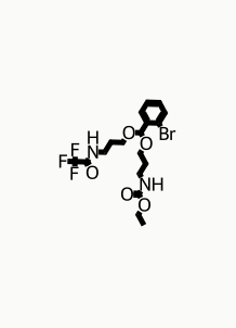 CCOC(=O)NCCCOC(OCCCNC(=O)C(F)(F)F)c1ccccc1Br